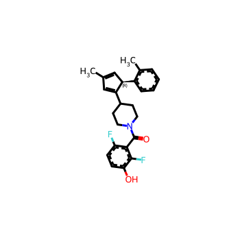 CC1=C[C@@H](c2ccccc2C)C(C2CCN(C(=O)c3c(F)ccc(O)c3F)CC2)=C1